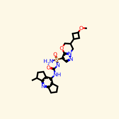 COC1CC(C2COc3c(S(N)(=O)=NC(=O)Nc4c5c(nc6c4CCC6C)CCC5)cnn3C2)C1